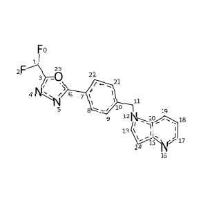 FC(F)c1nnc(-c2ccc(Cn3ccc4ncccc43)cc2)o1